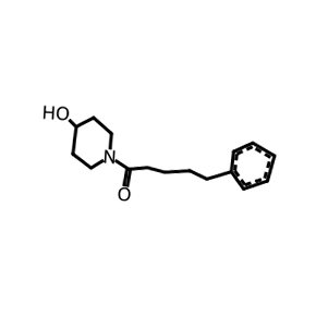 O=C(CCCCc1ccccc1)N1CCC(O)CC1